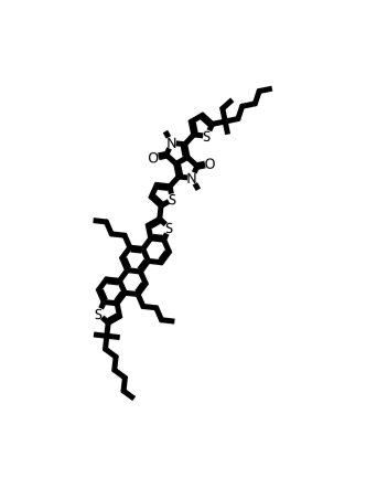 CCCCCCC(C)(C)c1cc2c(ccc3c4cc(CCCC)c5c6cc(-c7ccc(C8=C9C(=O)N(C)C(c%10ccc(C(C)(CC)CCCCC)s%10)=C9C(=O)N8C)s7)sc6ccc5c4cc(CCCC)c23)s1